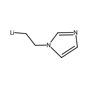 [Li][CH2]Cn1ccnc1